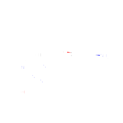 C[C@@]1(c2nnc3ccc(O[C@@H]4CC[C@H](N)c5ccccc54)cn23)CCCN1CCO